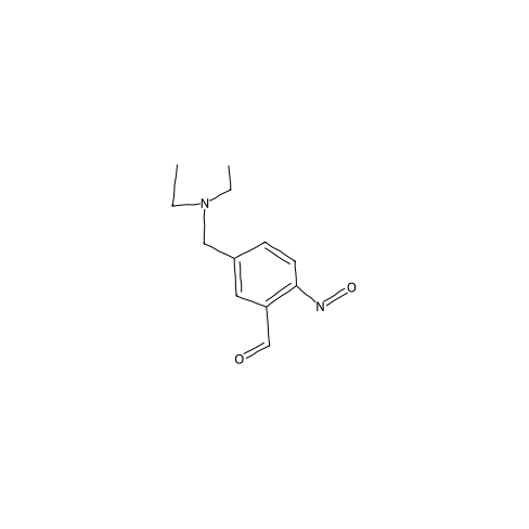 CCN(CC)Cc1ccc(N=O)c(C=O)c1